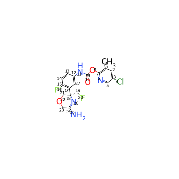 Cc1cc(Cl)cnc1OC(=O)Nc1ccc(F)c([C@]2(CF)COCC(N)=N2)c1